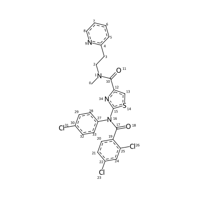 CN(CCc1ccccn1)C(=O)c1csc(N(C(=O)c2ccc(Cl)cc2Cl)c2ccc(Cl)cc2)n1